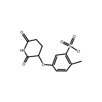 Cc1ccc(OC2CCC(=O)NC2=O)cc1S(=O)(=O)Cl